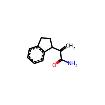 C=C(C(N)=O)C1CCc2ccccc21